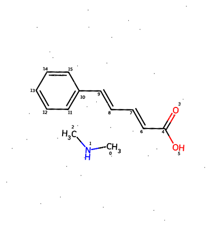 CNC.O=C(O)C=CC=Cc1ccccc1